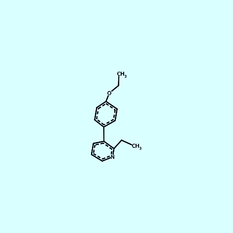 CCOc1ccc(-c2cccnc2CC)cc1